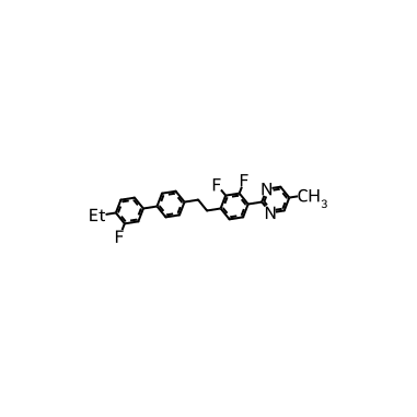 CCc1ccc(-c2ccc(CCc3ccc(-c4ncc(C)cn4)c(F)c3F)cc2)cc1F